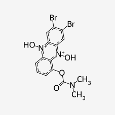 CN(C)C(=O)Oc1cccc2c1[n+](O)c1cc(Br)c(Br)cc1[n+]2O